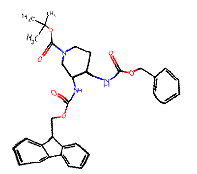 CC(C)(C)OC(=O)N1CCC(NC(=O)OCc2ccccc2)C(NC(=O)OCC2c3ccccc3-c3ccccc32)C1